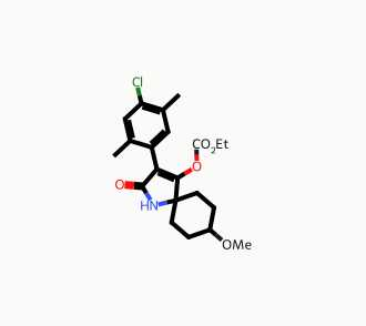 CCOC(=O)OC1=C(c2cc(C)c(Cl)cc2C)C(=O)NC12CCC(OC)CC2